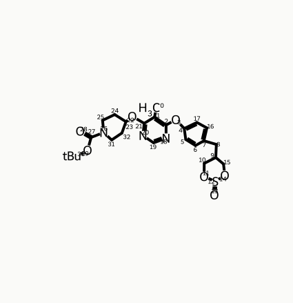 Cc1c(Oc2ccc(CC3COS(=O)OC3)cc2)ncnc1OC1CCN(C(=O)OC(C)(C)C)CC1